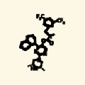 C[C@@H]1CN(c2ncc(OC(=O)N(C)Cc3cc(C(F)(F)F)cc(C(F)(F)F)c3)c(-c3cccc4ccccc34)n2)C[C@H](C)N1